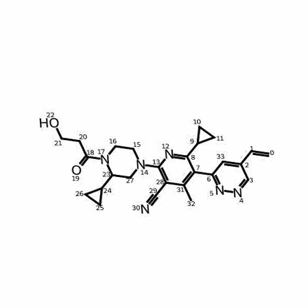 C=Cc1cnnc(-c2c(C3CC3)nc(N3CCN(C(=O)CCO)C(C4CC4)C3)c(C#N)c2C)c1